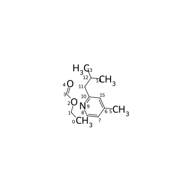 CCOC=O.Cc1ccnc(CC(C)C)c1